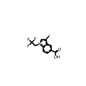 O=C(O)c1ccc2c(c1)c(I)cn2CC(F)(F)F